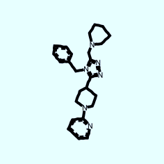 c1ccc(Cn2c(CN3CCCCC3)nnc2C2CCN(c3ccccn3)CC2)cc1